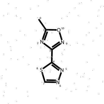 Cc1nc(-c2nncs2)no1